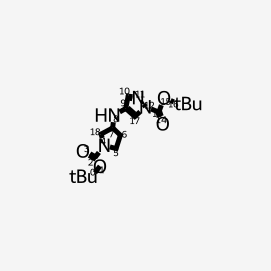 CC(C)(C)OC(=O)N1CCC(Nc2cnn(C(=O)OC(C)(C)C)c2)C1